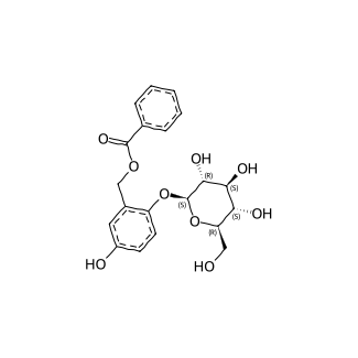 O=C(OCc1cc(O)ccc1O[C@@H]1O[C@H](CO)[C@@H](O)[C@H](O)[C@H]1O)c1ccccc1